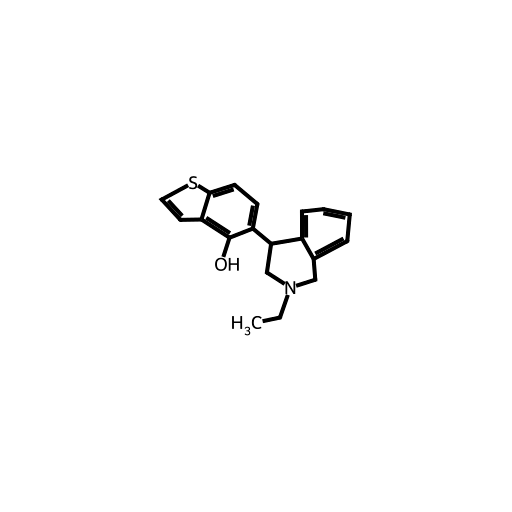 CCN1Cc2ccccc2C(c2ccc3sccc3c2O)C1